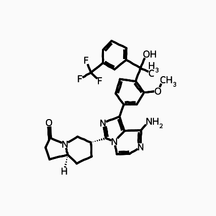 COc1cc(-c2nc([C@@H]3CC[C@H]4CCC(=O)N4C3)n3ccnc(N)c23)ccc1C(C)(O)c1cccc(C(F)(F)F)c1